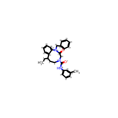 CCC1CCN(C(=O)Nc2cccc(C)c2)CC(=O)N(Cc2ccccc2)c2ccccc21